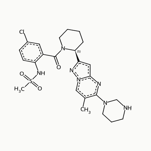 Cc1cn2nc([C@@H]3CCCCN3C(=O)c3cc(Cl)ccc3NS(C)(=O)=O)cc2nc1N1CCCNC1